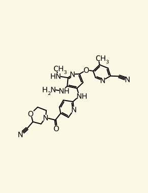 CNc1nc(Oc2cnc(C#N)cc2C)cc(Nc2ccc(C(=O)N3CCOC(C#N)C3)cn2)c1NN